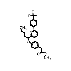 CCCCC(Oc1ccc(CC(=O)OC)cc1)c1cccc(-c2ccc(C(F)(F)F)cc2)n1